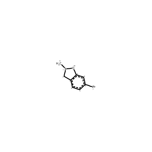 CB1Cc2ccc(C(C)C)cc2O1